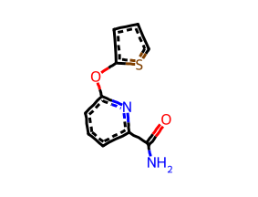 NC(=O)c1cccc(Oc2cccs2)n1